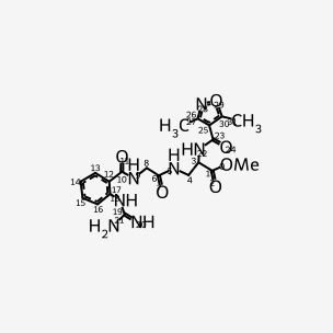 COC(=O)C(CNC(=O)CNC(=O)c1ccccc1NC(=N)N)NC(=O)c1c(C)noc1C